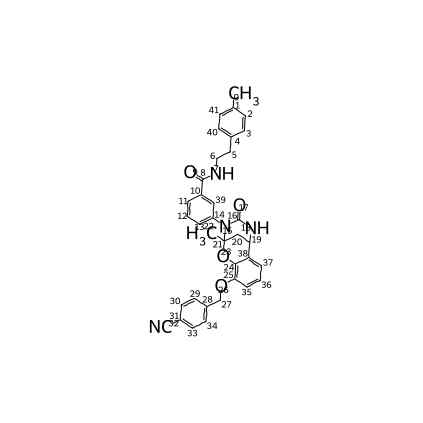 Cc1ccc(CCNC(=O)c2cccc(N3C(=O)NC4CC3(C)Oc3c(OCc5ccc(C#N)cc5)cccc34)c2)cc1